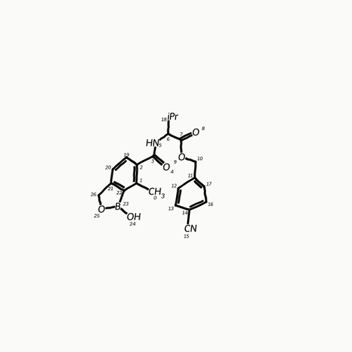 Cc1c(C(=O)NC(C(=O)OCc2ccc(C#N)cc2)C(C)C)ccc2c1B(O)OC2